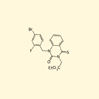 CCOC(=O)Cn1c(=S)c2ccccc2n(Cc2ccc(Br)cc2F)c1=O